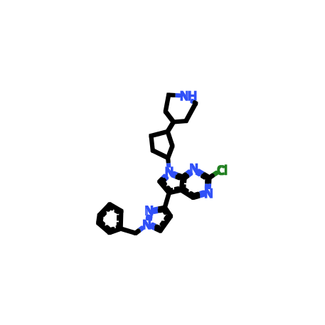 Clc1ncc2c(-c3ccn(Cc4ccccc4)n3)cn(C3CCC(C4CCNCC4)C3)c2n1